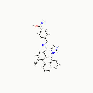 Cn1cncc1C(NCc1ccc(C(N)=O)cc1)c1ccc(C#N)c(-c2cccc3ccccc23)c1